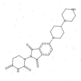 O=C1CCN(N2C(=O)c3ccc(N4CCC(N5CCNCC5)CC4)cc3C2=O)C(=O)N1